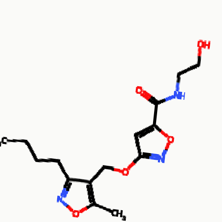 CCCCc1noc(C)c1COc1cc(C(=O)NCCO)on1